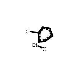 CCCl.Clc1ccccc1